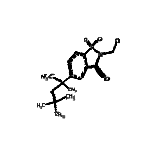 CC(C)(C)CC(C)(C)c1ccc2c(c1)C(=O)N(CCl)S2(=O)=O